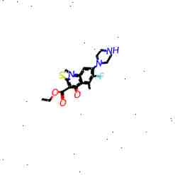 CCOC(=O)c1c2n(c3cc(N4CCNCC4)c(F)c(C)c3c1=O)CS2